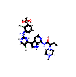 CCC(C(=O)Nc1nccc2c(-c3nc(Nc4cccc(S(C)(=O)=O)c4F)ncc3F)c[nH]c12)N1CCN(C)CC1